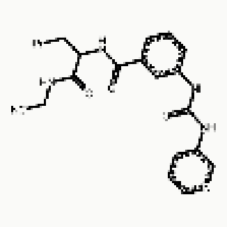 CC(C)CC(NC(=O)c1cccc(NC(=O)Nc2cccnc2)c1)C(=O)NCC#N